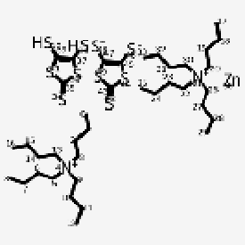 CCCC[N+](CCCC)(CCCC)CCCC.CCCC[N+](CCCC)(CCCC)CCCC.S=c1sc(S)c(S)s1.S=c1sc([S-])c([S-])s1.[Zn]